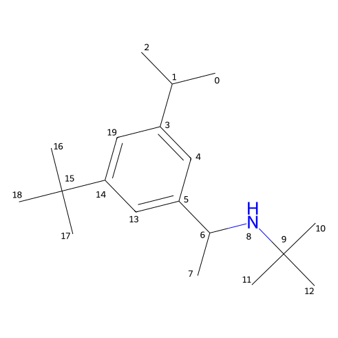 CC(C)c1cc(C(C)NC(C)(C)C)cc(C(C)(C)C)c1